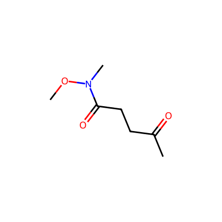 CON(C)C(=O)CCC(C)=O